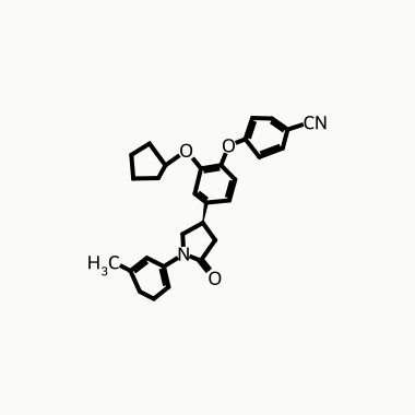 CC1=CC(N2C[C@@H](c3ccc(Oc4ccc(C#N)cc4)c(OC4CCCC4)c3)CC2=O)=CCC1